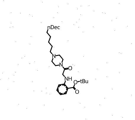 CCCCCCCCCCCCCCCN1CCN(C(=O)CNc2ccccc2C(=O)OC(C)(C)C)CC1